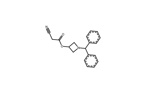 N#CCC(=O)OC1CN(C(c2ccccc2)c2ccccc2)C1